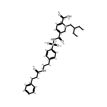 CCC(CC)CN1CC(C(=O)NS(=O)(=O)c2ccc(CCNC(=O)CCc3ccccc3)cc2)=CC=C1C(=O)O